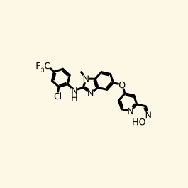 Cn1c(Nc2ccc(C(F)(F)F)cc2Cl)nc2cc(Oc3ccnc(/C=N\O)c3)ccc21